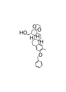 Cc1cc2c(cc1OCc1ccccc1)CC[C@H]1[C@@H]3[C@@H](CO)CC4(OCCO4)[C@@]3(C)CC[C@H]21